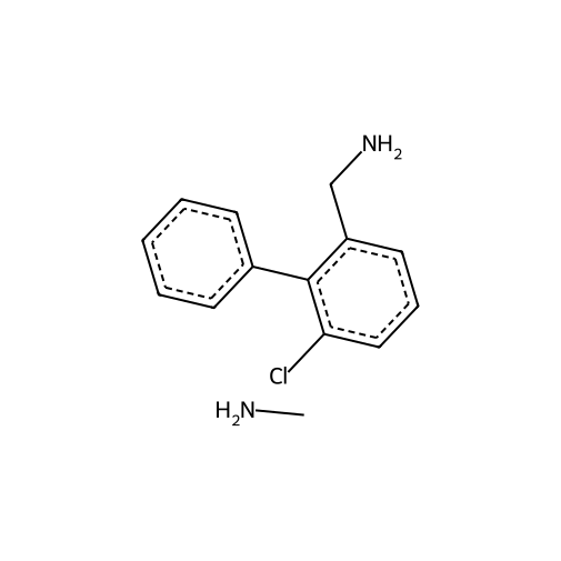 CN.NCc1cccc(Cl)c1-c1ccccc1